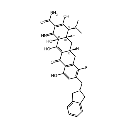 CN(C)[C@@H]1C(O)=C(C(N)=O)C(=N)[C@@]2(O)C(O)=C3C(=O)c4c(O)cc(CN5Cc6ccccc6C5)c(F)c4C[C@H]3C[C@@H]12